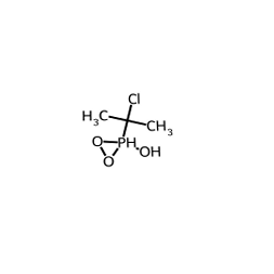 CC(C)(Cl)[PH]1(O)OO1